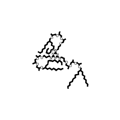 CCCCCCCCCCC(CCCCCCCC)COC(C)COC(C)COC(C)COCCCNc1nc(NCCCOCC(C)OCC(C)OCC(C)OCC(CCCCCCCC)CCCCCCCCCC)nc(NCCCOCC(C)OCC(C)OCC(C)OCC(CCCCCCCC)CCCCCCCCCC)n1